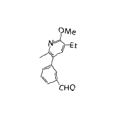 CCc1cc(-c2cccc(C=O)c2)c(C)nc1OC